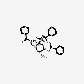 CO[C@H]1O[C@H](COC(=O)c2ccccc2)[C@](O)(S(=O)(=O)C(F)(F)F)[C@H](OC(=O)c2ccccc2)[C@H]1OC(=O)c1ccccc1